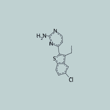 CCc1c(-c2ccnc(N)n2)sc2ccc(Cl)cc12